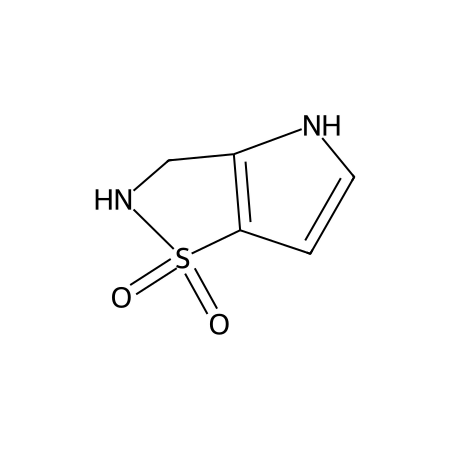 O=S1(=O)NCc2[nH]ccc21